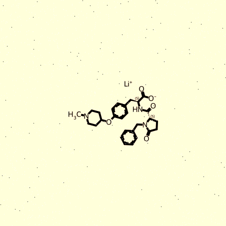 CN1CCC(Oc2ccc(C[C@H](NC(=O)[C@@H]3CCC(=O)N3Cc3ccccc3)C(=O)[O-])cc2)CC1.[Li+]